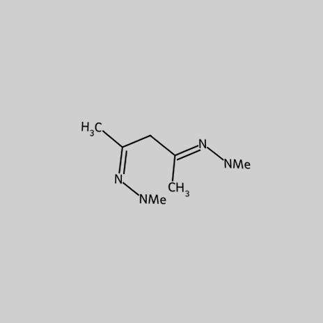 CN/N=C(/C)C/C(C)=N/NC